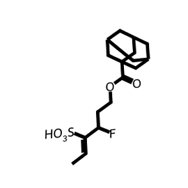 C/C=C(/C(F)CCOC(=O)C12CC3CC(CC(C3)C1)C2)S(=O)(=O)O